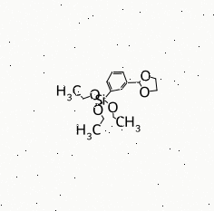 CCO[Si](OCC)(OCC)c1cccc(C2OCCO2)c1